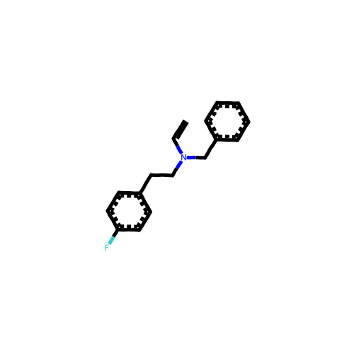 C=CN(CCc1ccc(F)cc1)Cc1ccccc1